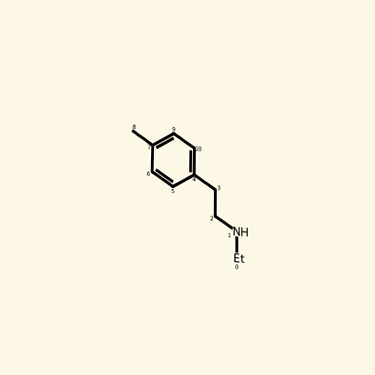 CCNCCc1ccc(C)cc1